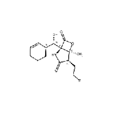 C[C@@]12OC(=O)[C@]1([C@@H](O)[C@@H]1C=CCCC1)NC(=O)[C@@H]2CCF